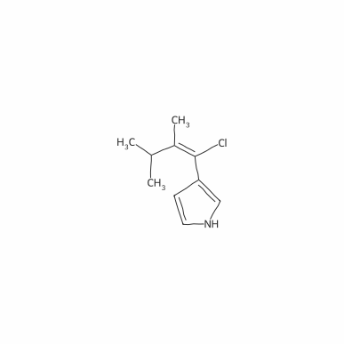 C/C(=C(\Cl)c1cc[nH]c1)C(C)C